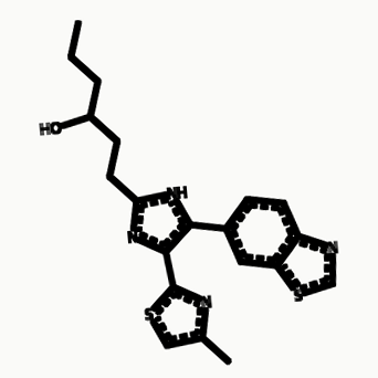 CCCC(O)CCc1nc(-c2nc(C)cs2)c(-c2ccc3ncsc3c2)[nH]1